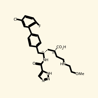 COCCNCC[C@H](C[C@@H](Cc1ccc(-c2cc(Cl)ccc2F)cc1)NC(=O)c1cnn[nH]1)C(=O)O